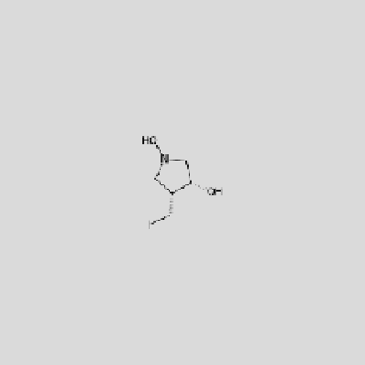 O[C@H]1CN(O)C[C@H]1CI